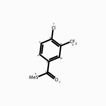 CSC(=O)c1ccc(Cl)c(C(F)(F)F)c1